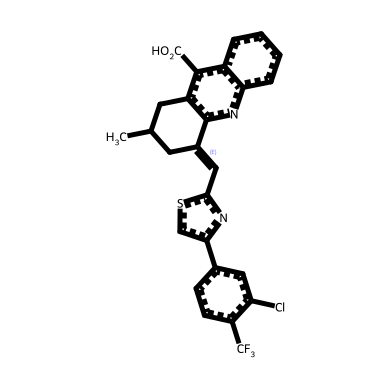 CC1C/C(=C\c2nc(-c3ccc(C(F)(F)F)c(Cl)c3)cs2)c2nc3ccccc3c(C(=O)O)c2C1